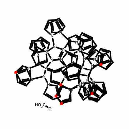 O=C([O-])O.c1ccn(N(n2cccc2)P(=N[P+](N=P(N(n2cccc2)n2cccc2)(N(n2cccc2)n2cccc2)N(n2cccc2)n2cccc2)(N=P(N(n2cccc2)n2cccc2)(N(n2cccc2)n2cccc2)N(n2cccc2)n2cccc2)N=P(N(n2cccc2)n2cccc2)(N(n2cccc2)n2cccc2)N(n2cccc2)n2cccc2)(N(n2cccc2)n2cccc2)N(n2cccc2)n2cccc2)c1